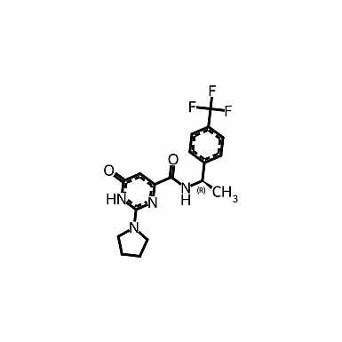 C[C@@H](NC(=O)c1cc(=O)[nH]c(N2CCCC2)n1)c1ccc(C(F)(F)F)cc1